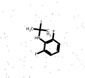 CC(C)(I)Nc1c(F)cccc1F